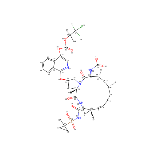 C[C@@H]1CCC=C[C@@H]2C[C@@]2(C(=O)NS(=O)(=O)C2(C)CC2)NC(=O)[C@@H]2C[C@@H](Oc3ncc(OC(=O)OC(C)(C)C(F)(F)F)c4ccccc34)CN2C(=O)[C@@H](NC(=O)O)[C@H](C)C1